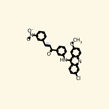 COc1ccc2nc3cc(Cl)ccc3c(Nc3cccc(C(=O)/C=C/c4cccc([N+](=O)[O-])c4)c3)c2c1